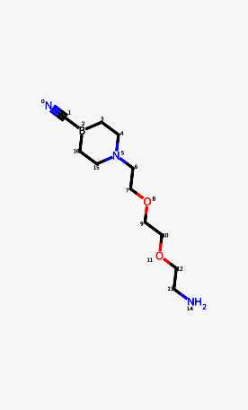 N#CB1CCN(CCOCCOCCN)CC1